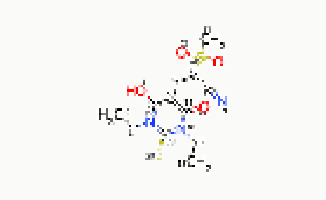 CCn1c(O)c(C=C(C#N)S(C)(=O)=O)c(=O)n(CC)c1=S